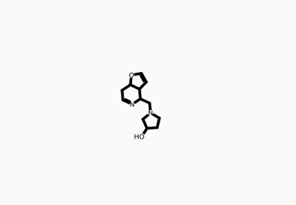 OC1CCN(CC2N=CCC3OC=CC23)C1